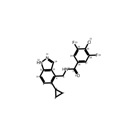 O=C(NCc1c(C2CC2)ccc2[nH]ncc12)c1cc(F)c(Cl)c(F)c1